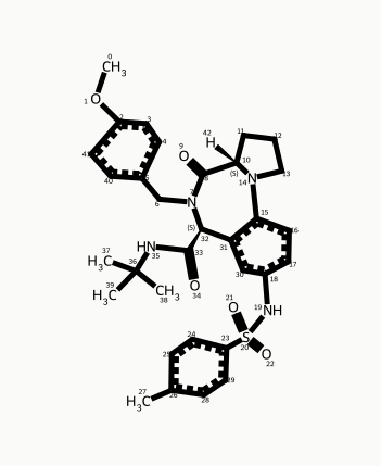 COc1ccc(CN2C(=O)[C@@H]3CCCN3c3ccc(NS(=O)(=O)c4ccc(C)cc4)cc3[C@H]2C(=O)NC(C)(C)C)cc1